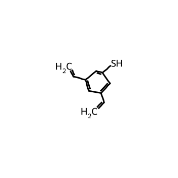 C=Cc1cc(S)cc(C=C)c1